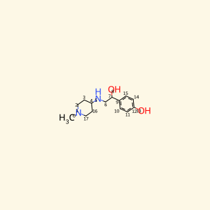 CN1CCC(NCC(O)c2ccc(O)cc2)CC1